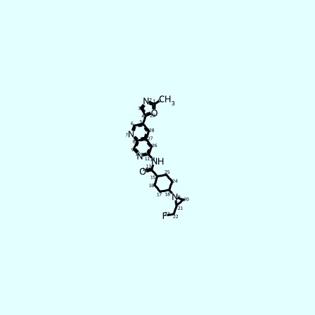 Cc1ncc(-c2cnc3cnc(NC(=O)C4CCC(N5CC5CF)CC4)cc3c2)o1